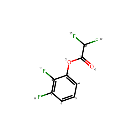 O=C(Oc1cccc(F)c1F)C(F)F